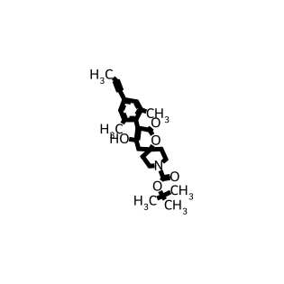 CC#Cc1cc(C)c(C2=C(O)CC3(CCN(C(=O)OC(C)(C)C)CC3)OC2=O)c(C)c1